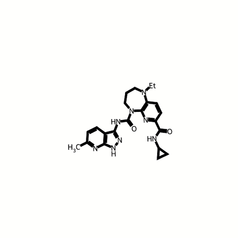 CCN1CCCN(C(=O)Nc2n[nH]c3nc(C)ccc23)c2nc(C(=O)NC3CC3)ccc21